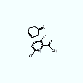 O=C(O)c1nc(Cl)ccc1Cl.O=C1CC=CCC1